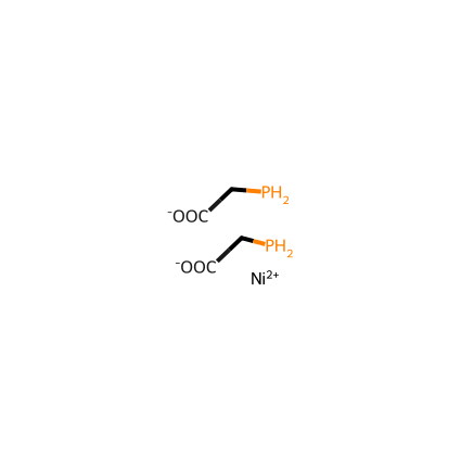 O=C([O-])CP.O=C([O-])CP.[Ni+2]